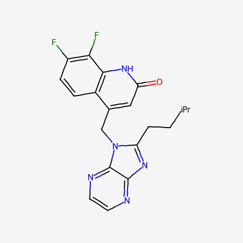 CC(C)CCc1nc2nccnc2n1Cc1cc(=O)[nH]c2c(F)c(F)ccc12